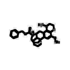 CCCCOc1cc2c(c3c1OCCN3C)C[C@H]1C3CCCC[C@@]23CCCN1C(=O)OCc1ccccc1